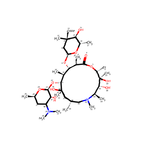 CC[C@H]1OC(=O)[C@H](C)[C@@H](O[C@H]2C[C@@](C)(OC)[C@@H](O)[C@H](C)O2)[C@H](C)[C@@H](O[C@@H]2O[C@H](C)CC(N(C)C)[C@H]2O)[C@](C)(O)C[C@@H](C)CN(C)[C@H](C)[C@@H](O)[C@]1(C)O